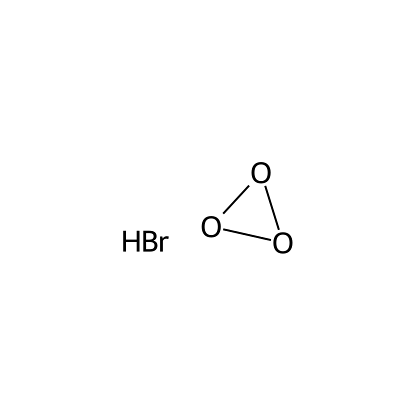 Br.o1oo1